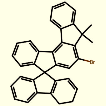 CC1(C)c2ccccc2-c2c3c(cc(Br)c21)C1(C2=C(CCC=C2)c2ccccc21)c1ccccc1-3